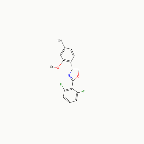 CCOc1cc(C(C)(C)C)ccc1[C@@H]1COC(c2c(F)cccc2F)=N1